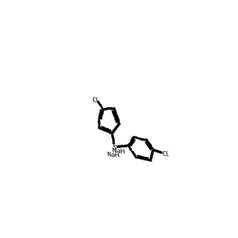 Clc1ccc(Sc2ccc(Cl)cc2)cc1.[NaH].[NaH]